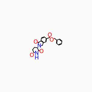 O=C1CCC(N2Cc3cc(C(=O)OCc4ccccc4)ccc3C2=O)C(=O)N1